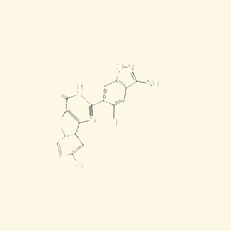 Nc1n[nH]c2cc(-c3nc4c(c(=O)[nH]3)OC3C=CC(Br)=CC43)c(Cl)cc12